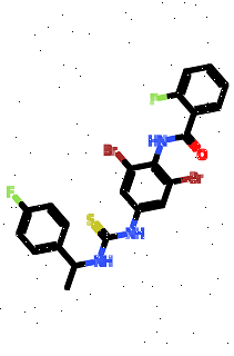 CC(NC(=S)Nc1cc(Br)c(NC(=O)c2ccccc2F)c(Br)c1)c1ccc(F)cc1